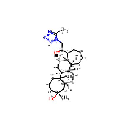 Cc1nnnn1CC(=O)[C@H]1CCCC[C@H]2[C@@H]3CC[C@@H]4C[C@](C)(O)CCC[C@]4(C)[C@H]3CC[C@]12C